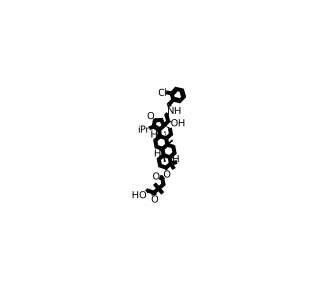 CC(C)C1=C2[C@H]3CC[C@@H]4[C@@]5(C)CC[C@H](OC(=O)CC(C)(C)C(=O)CO)C(C)(C)[C@@H]5CC[C@@]4(C)[C@]3(C)CC[C@@]2([C@@H](O)CNCc2ccccc2Cl)CC1=O